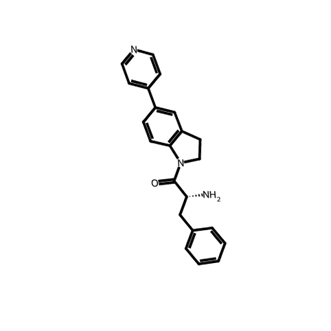 N[C@H](Cc1ccccc1)C(=O)N1CCc2cc(-c3ccncc3)ccc21